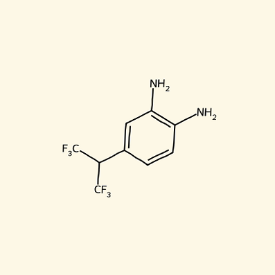 Nc1ccc(C(C(F)(F)F)C(F)(F)F)cc1N